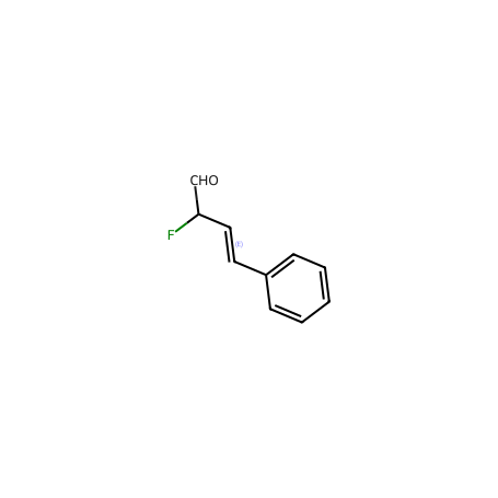 O=CC(F)/C=C/c1ccccc1